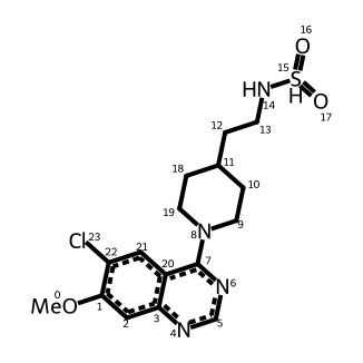 COc1cc2ncnc(N3CCC(CCN[SH](=O)=O)CC3)c2cc1Cl